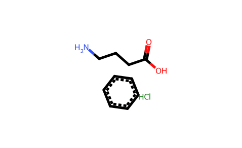 Cl.NCCCC(=O)O.c1ccccc1